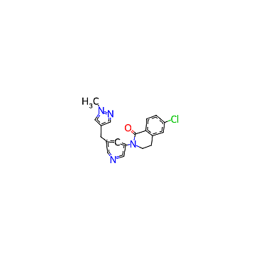 Cn1cc(Cc2cncc(N3CCc4cc(Cl)ccc4C3=O)c2)cn1